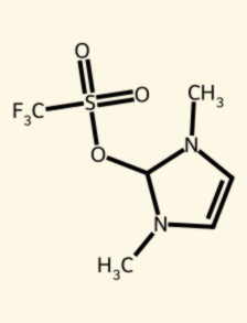 CN1C=CN(C)C1OS(=O)(=O)C(F)(F)F